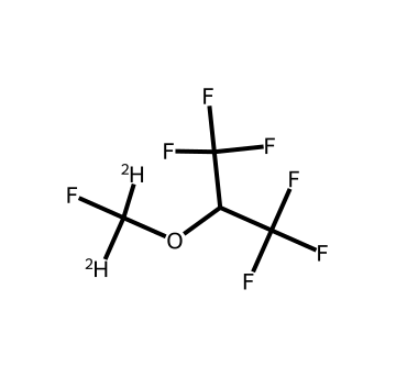 [2H]C([2H])(F)OC(C(F)(F)F)C(F)(F)F